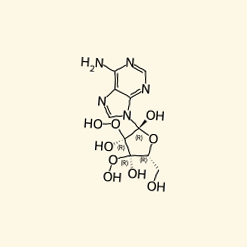 Nc1ncnc2c1ncn2[C@]1(O)O[C@H](CO)[C@@](O)(OO)[C@@]1(O)OO